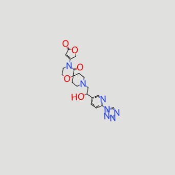 O=C1C=C(N2CCOC3(CCN(CC(O)c4ccc(-n5cnnn5)nc4)CC3)C2=O)CO1